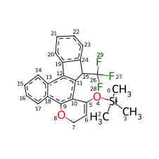 C[Si](C)(C)OC1=CCOc2c1c1c(c3ccccc23)-c2ccccc2C1C(F)(F)F